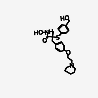 CC(Cc1ccc(OCCN2CCCCC2)cc1)(Sc1ccc(CO)cc1)C(=O)NO